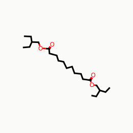 CCC(CC)COC(=O)CCCCCCCCCC(=O)OCC(CC)CC